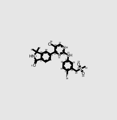 CC1(C)NC(=O)c2ccc(-c3nc(Nc4ccc(F)c(CS(C)(=O)=O)c4)ncc3Cl)cc21